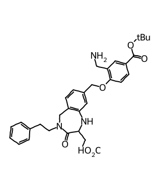 CC(C)(C)OC(=O)c1ccc(OCc2ccc3c(c2)NC(CC(=O)O)C(=O)N(CCc2ccccc2)C3)c(CN)c1